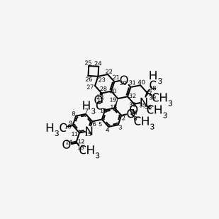 COc1ccc(-c2ccc(C)c(C(C)=O)n2)c(C)c1[C@H]1C2=C(CC3(CCC3)CC2=O)OC2=C1C(=O)N(C)C(C)(C)C2